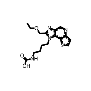 CCOCc1nc2cnc3ccsc3c2n1CCCCNC(=O)O